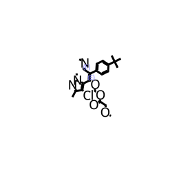 C/N=C/C(=C(/OCOC(=O)COC)c1c(Cl)c(C)nn1C)c1ccc(C(C)(C)C)cc1